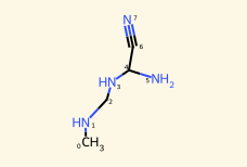 CNCNC(N)C#N